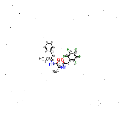 CCC(C)[C@H](NC(=O)Cc1c(F)c(F)c(F)c(F)c1F)C(=O)N[C@@H](Cc1ccccc1)C(=O)O